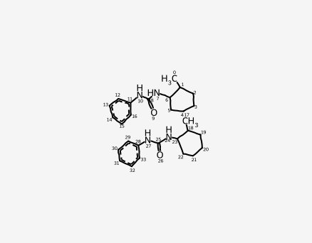 CC1CCCCC1NC(=O)Nc1ccccc1.CC1CCCCC1NC(=O)Nc1ccccc1